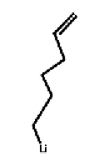 [Li][CH2]CCCC=C